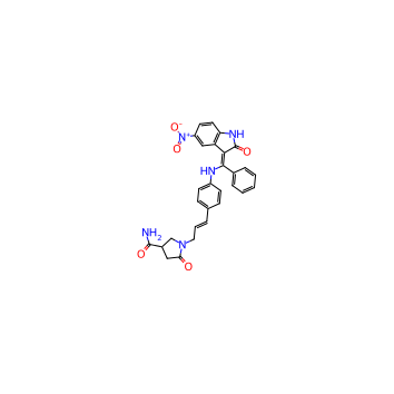 NC(=O)C1CC(=O)N(CC=Cc2ccc(NC(=C3C(=O)Nc4ccc([N+](=O)[O-])cc43)c3ccccc3)cc2)C1